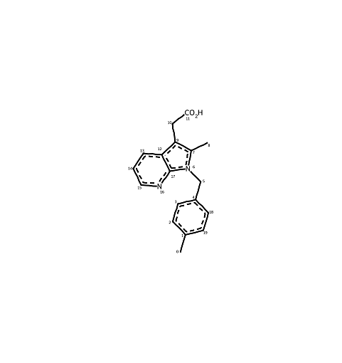 Cc1ccc(Cn2c(C)c(CC(=O)O)c3cccnc32)cc1